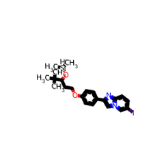 C[SiH](C)OC(CCOc1ccc(-c2cn3cc(I)ccc3n2)cc1)C(C)(C)C